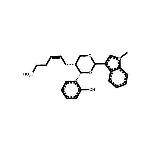 Cn1cc(C2OC[C@@H](C/C=C\CCC(=O)O)[C@@H](c3ccccc3O)O2)c2ccccc21